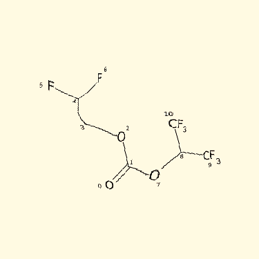 O=C(OCC(F)F)OC(C(F)(F)F)C(F)(F)F